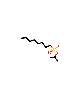 CCCCCCCCS(=O)(=O)OC(C)C